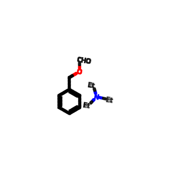 CCN(CC)CC.O=COCc1ccccc1